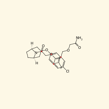 NC(=O)COCc1cc(Cl)ccc1OCC(=O)N1[C@@H]2CC[C@H]1CC(Oc1ccc(F)cc1)C2